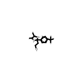 CC1OC(CCCl)(c2ccc(C(C)(C)C)cc2)OC1C